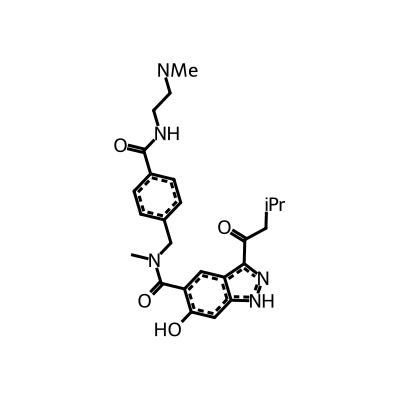 CNCCNC(=O)c1ccc(CN(C)C(=O)c2cc3c(C(=O)CC(C)C)n[nH]c3cc2O)cc1